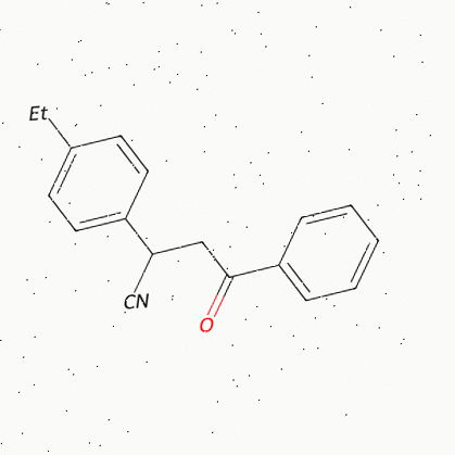 CCc1ccc(C(C#N)CC(=O)c2ccccc2)cc1